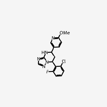 COc1ccc(C2CC(c3c(F)cccc3Cl)n3ncnc3N2)cn1